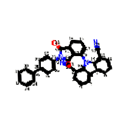 N#Cc1cccc2c3cccc(C#N)c3n(-c3cccc4c3C(=O)N(c3ccc(-c5ccccc5)cc3)C4=O)c12